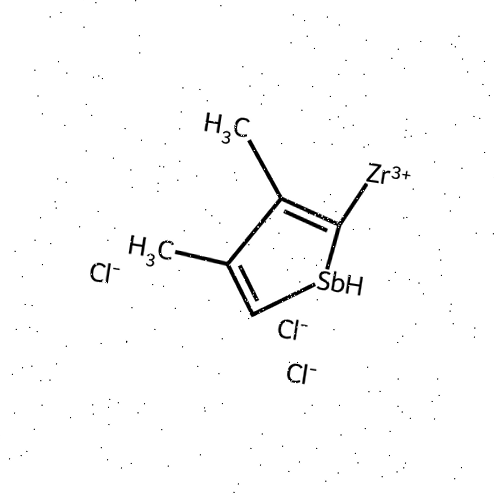 CC1=[CH][SbH][C]([Zr+3])=C1C.[Cl-].[Cl-].[Cl-]